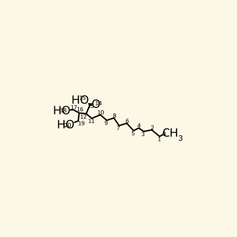 CCCCCCCCCCCCC(C(=O)O)C(CO)CO